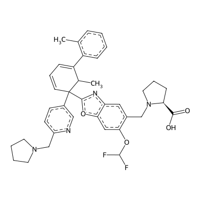 Cc1ccccc1C1=CC=CC(c2ccc(CN3CCCC3)nc2)(c2nc3cc(CN4CCC[C@H]4C(=O)O)c(OC(F)F)cc3o2)C1C